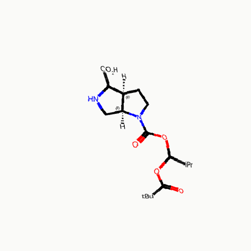 CC(C)C(OC(=O)N1CC[C@@H]2C(C(=O)O)NC[C@@H]21)OC(=O)C(C)(C)C